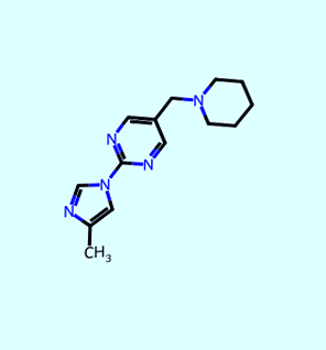 Cc1cn(-c2ncc(CN3CCCCC3)cn2)cn1